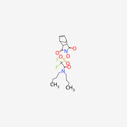 CCCCN(CCCC)C(=O)C(F)(F)S(=O)(=O)ON1C(=O)C2C3C=CC(C3)C2C1=O